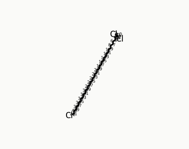 C[Si](Cl)(Cl)CCCCCCCCCCCCCCCCCCCCCCCCCCCCCCCCCCCCCCCl